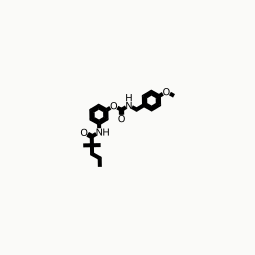 CCCC(C)(C)C(=O)Nc1cccc(OC(=O)NCc2ccc(OC)cc2)c1